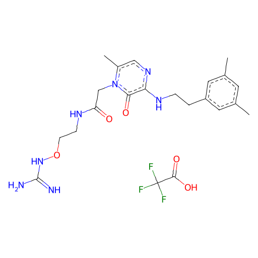 Cc1cc(C)cc(CCNc2ncc(C)n(CC(=O)NCCONC(=N)N)c2=O)c1.O=C(O)C(F)(F)F